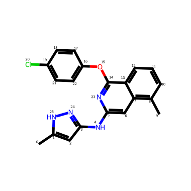 Cc1cc(Nc2cc3c(C)cccc3c(Oc3ccc(Cl)cc3)n2)n[nH]1